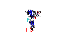 C[C@@H]1CN(c2cc(F)c(-c3cnc(N4CCC(C)(O)CC4)nc3)cc2NC(=O)c2cn(C)c(=O)cc2C(F)(F)F)C[C@H](C)N1C